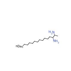 CCCCCCCCCCCCCCCCCCCCCC(N)C(C)N